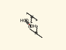 CC(C)CCCCCN(CCCCCC(C)C)CCCCCC(C)C.CCC(=O)O.CCCCCCCCN(CCCCCCCC)CCCCCCCC.O=C(O)Cc1ccccc1